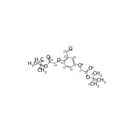 CC(C)(C)OC(=O)COc1ccc(OCC(=O)OC(C)(C)C)c(C=O)c1